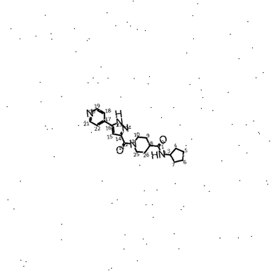 O=C(NC1CCCC1)C1CCN(C(=O)c2cc(-c3ccncc3)[nH]n2)CC1